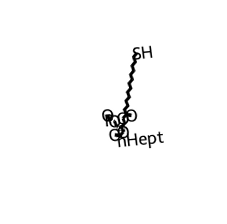 CCCCCCCC(=O)O[C@H](COP=O)COC(=O)CCCCCCCCCCCCCS